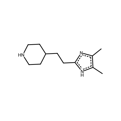 Cc1nc(CCC2CCNCC2)[nH]c1C